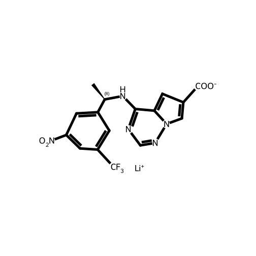 C[C@@H](Nc1ncnn2cc(C(=O)[O-])cc12)c1cc([N+](=O)[O-])cc(C(F)(F)F)c1.[Li+]